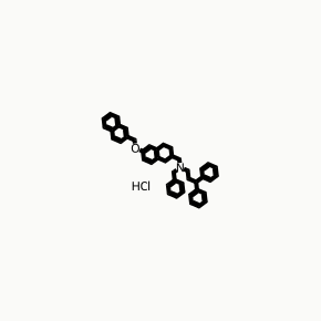 Cl.c1ccc(CN(CCC(c2ccccc2)c2ccccc2)CC2CCc3cc(OCc4ccc5ccccc5c4)ccc3C2)cc1